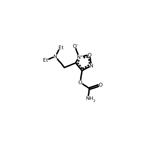 CCN(CC)Cc1c(OC(N)=O)no[n+]1[O-]